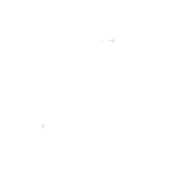 Fc1cccc2c1CC=c1c-2ccc2c1=CCCC2.Oc1cccc2ccccc12